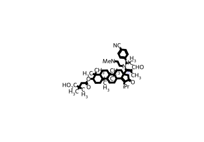 CNCCN(/C(=C(/C)C=O)C12CC[C@]3(C)C(CCC4C5(C)CCC(OC(=O)CC(C)(C)C(=O)O)C(C)(C)C5CCC43C)C1=C(C(C)C)C(=O)C2)N(C)c1ccc(C#N)cc1